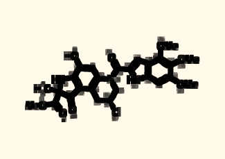 COC(=O)[C@]1(C)Nc2c(O)cc3c(c2C1=O)C[C@H](Cl)CN3C(=O)c1cc2c(OC)c(OC)c(OC)cc2[nH]1